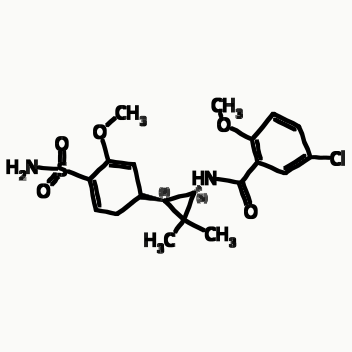 COC1=CC([C@H]2[C@H](NC(=O)c3cc(Cl)ccc3OC)C2(C)C)CC=C1S(N)(=O)=O